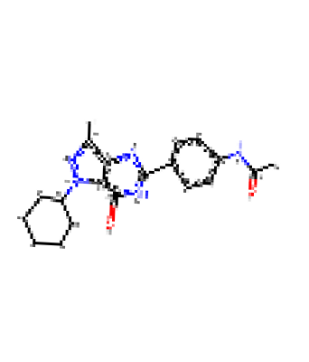 CC(=O)Nc1ccc(-c2nc3c(C)nn(C4CCCCC4)c3c(=O)[nH]2)cc1